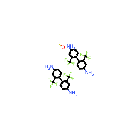 Nc1ccc(-c2ccc(N)cc2C(F)(F)F)c(C(F)(F)F)c1.Nc1ccc(-c2ccc(N)cc2C(F)(F)F)c(C(F)(F)F)c1.O=S